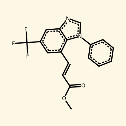 COC(=O)/C=C/c1cc(C(F)(F)F)cc2ncn(-c3ccccc3)c12